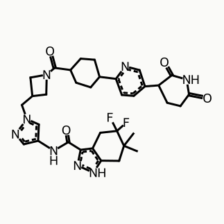 CC1(C)Cc2[nH]nc(C(=O)Nc3cnn(CC4CN(C(=O)C5CCC(c6ccc(C7CCC(=O)NC7=O)cn6)CC5)C4)c3)c2CC1(F)F